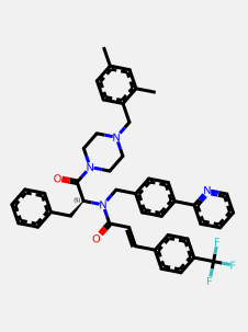 Cc1ccc(CN2CCN(C(=O)[C@H](Cc3ccccc3)N(Cc3ccc(-c4ccccn4)cc3)C(=O)C=Cc3ccc(C(F)(F)F)cc3)CC2)c(C)c1